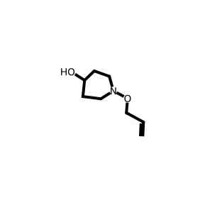 C=CCON1CCC(O)CC1